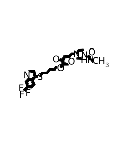 CNC(=O)N1CCN(Cc2cc(=O)c(OCCCCCSc3ccnc4cc(C(F)(F)F)ccc34)co2)CC1